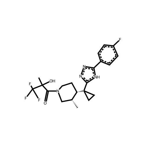 C[C@@H]1CN(C(=O)C(C)(O)C(F)(F)F)CC[C@@H]1C1(c2nnc(-c3ccc(F)cc3)[nH]2)CC1